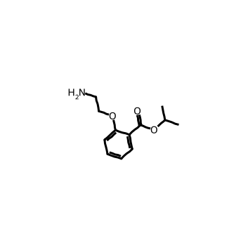 CC(C)OC(=O)c1ccccc1OCCN